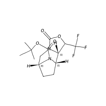 CC(C)(C)OC(=O)N1[C@@H]2CC[C@H]1[C@H]1C(C(F)(F)F)OC(=O)N1C2